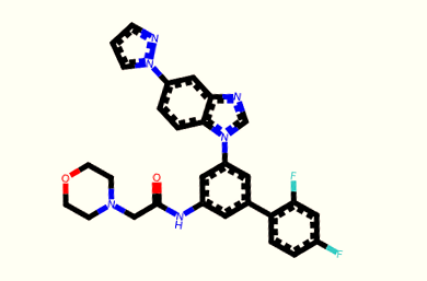 O=C(CN1CCOCC1)Nc1cc(-c2ccc(F)cc2F)cc(-n2cnc3cc(-n4cccn4)ccc32)c1